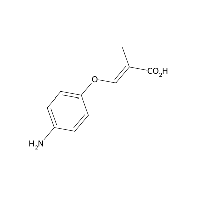 CC(=COc1ccc(N)cc1)C(=O)O